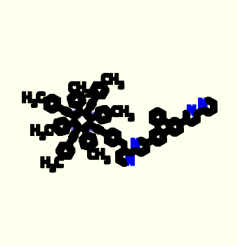 Cc1ccc(C#CC2=C(c3ccc(C)cc3)/C(C#Cc3ccc(C)cc3)=C(c3ccc(C)cc3)\C(C#Cc3ccc(Cc4cccnc4-c4ccc(-c5ccc6c7ccc(-c8ccc(-c9ccccn9)nc8)cc7c7ccccc7c6c5)cn4)cc3)=C(c3ccc(C)cc3)/C(C#Cc3ccc(C)cc3)=C\2c2ccc(C)cc2)cc1